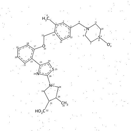 Cc1cc(CN2CC[S+]([O-])CC2)ccc1COc1ccccc1-c1csc(N2CC(C)C(C(=O)O)C2)n1